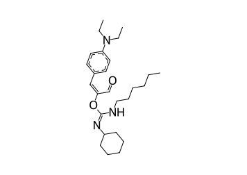 CCCCCCN/C(=N\C1CCCCC1)O/C(C=O)=C/c1ccc(N(CC)CC)cc1